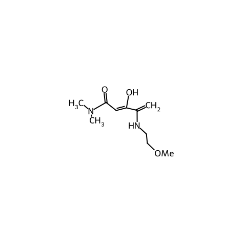 C=C(NCCOC)/C(O)=C/C(=O)N(C)C